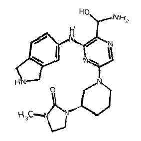 CN1CCN([C@@H]2CCCN(c3cnc(C(N)O)c(Nc4ccc5c(c4)CNC5)n3)C2)C1=O